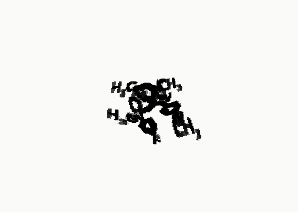 COc1ccc(-c2nn3c(C)cc(C)nc3c2CC(=O)N(C)c2ccc(F)cc2)cc1